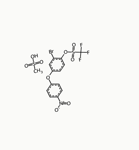 CS(=O)(=O)O.O=[N+]([O-])c1ccc(Oc2ccc(OS(=O)(=O)C(F)(F)F)c(Br)c2)cc1